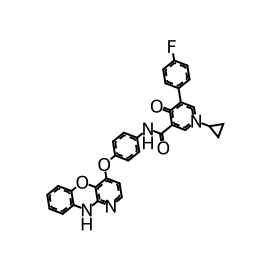 O=C(Nc1ccc(Oc2ccnc3c2Oc2ccccc2N3)cc1)c1cn(C2CC2)cc(-c2ccc(F)cc2)c1=O